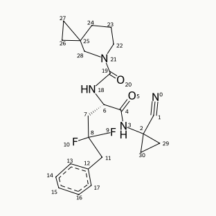 N#CC1(NC(=O)[C@H](CC(F)(F)Cc2ccccc2)NC(=O)N2CCCC3(CC3)C2)CC1